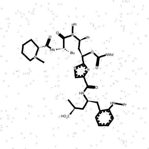 CCCN(C(=O)[C@@H](NC(=O)[C@H]1CCCCN1C)[C@@H](C)CC)[C@H](C[C@@H](OC(=O)NC)c1nc(C(=O)N[C@@H](Cc2ccccc2NC(C)C)C[C@H](C)C(=O)O)cs1)C(C)C